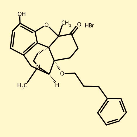 Br.CN1CC[C@]23c4c5ccc(O)c4OC2(C)C(=O)CC[C@@]3(OCCCc2ccccc2)[C@H]1C5